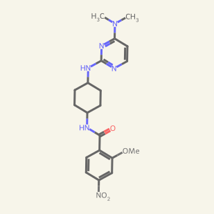 COc1cc([N+](=O)[O-])ccc1C(=O)NC1CCC(Nc2nccc(N(C)C)n2)CC1